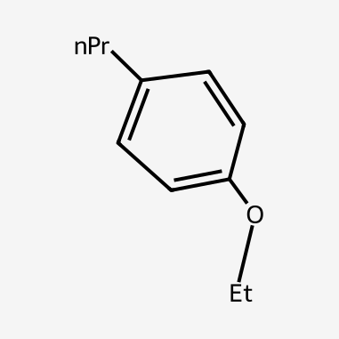 C[CH]Cc1ccc(OCC)cc1